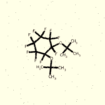 CC(C)(C)OC1(F)C(F)(F)C(F)(F)C(F)(F)C(F)(F)C1(F)OC(C)(C)C